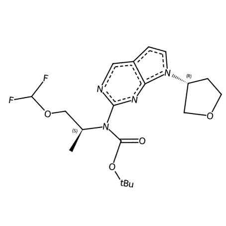 C[C@@H](COC(F)F)N(C(=O)OC(C)(C)C)c1ncc2ccn([C@@H]3CCOC3)c2n1